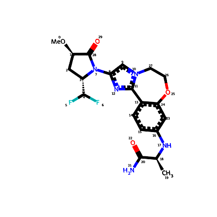 CO[C@@H]1C[C@@H](C(F)F)N(c2cn3c(n2)-c2ccc(N[C@@H](C)C(N)=O)cc2OCC3)C1=O